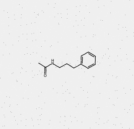 CC(=O)NCCCc1ccccc1